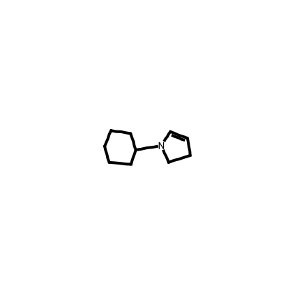 C1=CN(C2CCCCC2)CC1